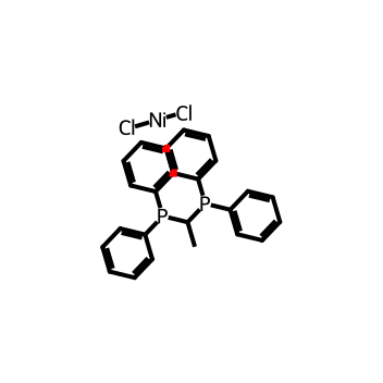 CC(P(c1ccccc1)c1ccccc1)P(c1ccccc1)c1ccccc1.[Cl][Ni][Cl]